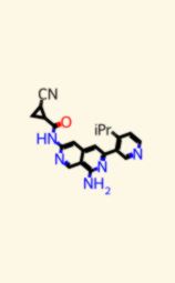 CC(C)c1ccncc1-c1cc2cc(NC(=O)C3CC3C#N)ncc2c(N)n1